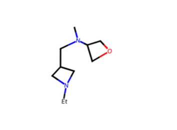 CCN1CC(CN(C)C2COC2)C1